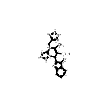 CC1=C(C(=O)O)C(c2sc3ccccc3c2Br)n2nnnc2N1Cc1nnn[nH]1